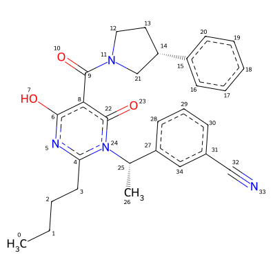 CCCCc1nc(O)c(C(=O)N2CC[C@H](c3ccccc3)C2)c(=O)n1[C@@H](C)c1cccc(C#N)c1